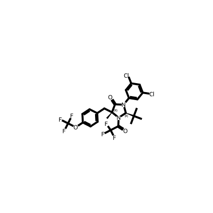 CC(C)(C)[C@@H]1N(c2cc(Cl)cc(Cl)c2)C(=O)[C@@](C)(Cc2ccc(OC(F)(F)F)cc2)N1C(=O)C(F)(F)F